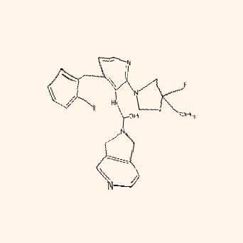 CC1(F)CCN(c2nccc(-c3ccccc3I)c2NC(O)N2Cc3ccncc3C2)C1